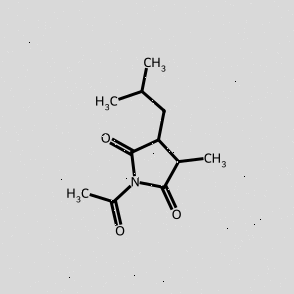 CC(=O)N1C(=O)C(C)C(CC(C)C)C1=O